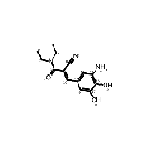 CCN(CC)C(=O)/C(C#N)=C/c1cc(N)c(O)c(O)c1